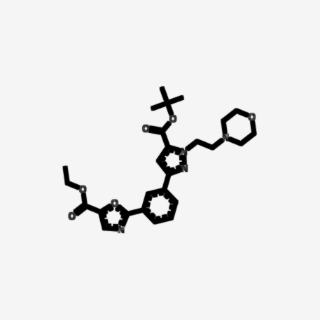 CCOC(=O)c1cnc(-c2cccc(-c3cc(C(=O)OC(C)(C)C)n(CCN4CCOCC4)n3)c2)o1